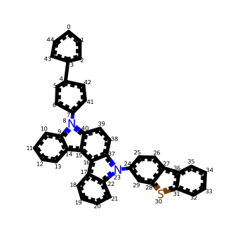 c1ccc(-c2ccc(-n3c4ccccc4c4c5c6ccccc6n(-c6ccc7c(c6)sc6ccccc67)c5ccc43)cc2)cc1